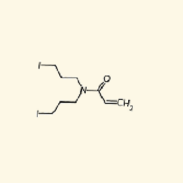 C=CC(=O)N(CCCI)CCCI